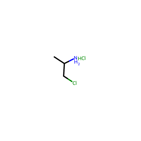 CC(N)CCl.Cl